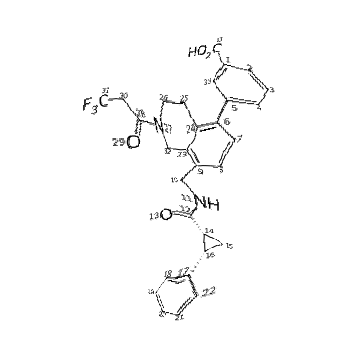 O=C(O)c1cccc(-c2ccc(CNC(=O)[C@@H]3C[C@@H]3c3ccccc3)c3c2CCN(C(=O)CC(F)(F)F)C3)c1